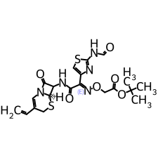 C=CC1=CN2C(=O)C(NC(=O)/C(=N/OCC(=O)OC(C)(C)C)c3csc(NC=O)n3)[C@H]2SC1